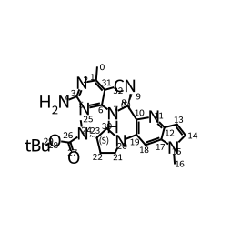 Cc1nc(N)nc(N[C@@H](C)c2nc3ccn(C)c3cc2N2CC[C@H](N(C)C(=O)OC(C)(C)C)C2)c1C#N